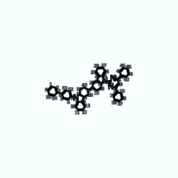 c1ccc(-c2ccc(N3c4ccccc4C4CC(C5CCC6C(C5)c5ccccc5N6c5nc(-c6ccccc6)cc(-c6ccccc6)n5)CCC43)cc2)cc1